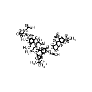 C#CCOc1cc(-n2nc(C(C)(C)C)oc2=O)c(Cl)cc1Cl.CCc1cccc(C)c1N(C(=O)CCl)C(C)COC.CS(=O)(=O)c1ccc(C(=O)C2C(=O)CCCC2=O)c([N+](=O)[O-])c1.C[S+](C)C.O=C(O)CNCP(=O)([O-])O